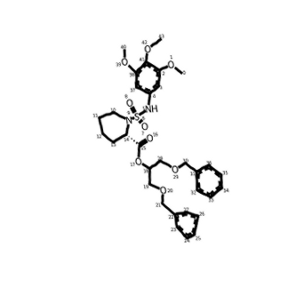 COc1cc(NS(=O)(=O)N2CCCC[C@H]2C(=O)OC(COCc2ccccc2)COCc2ccccc2)cc(OC)c1OC